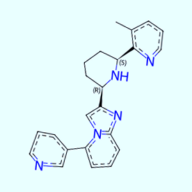 Cc1cccnc1[C@@H]1CCC[C@H](c2cn3c(-c4cccnc4)cccc3n2)N1